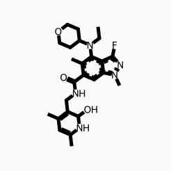 CCN(c1c(C)c(C(=O)NCC2=C(C)C=C(C)NC2O)cc2c1c(F)nn2C)C1CCOCC1